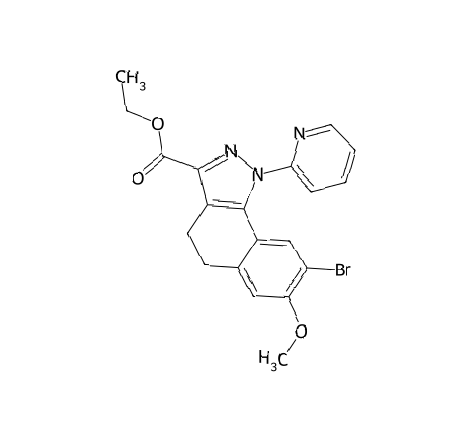 CCOC(=O)c1nn(-c2ccccn2)c2c1CCc1cc(OC)c(Br)cc1-2